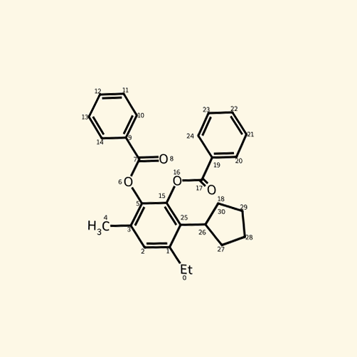 CCc1cc(C)c(OC(=O)c2ccccc2)c(OC(=O)c2ccccc2)c1C1CCCC1